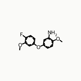 COc1ccc(Oc2ccc(F)c(OC)c2)cc1N